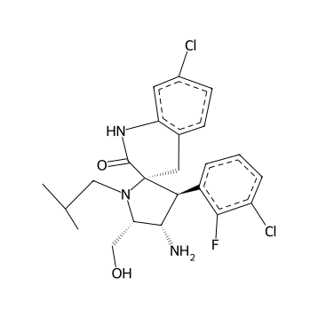 CC(C)CN1[C@@H](CO)[C@@H](N)[C@H](c2cccc(Cl)c2F)[C@@]12Cc1ccc(Cl)cc1NC2=O